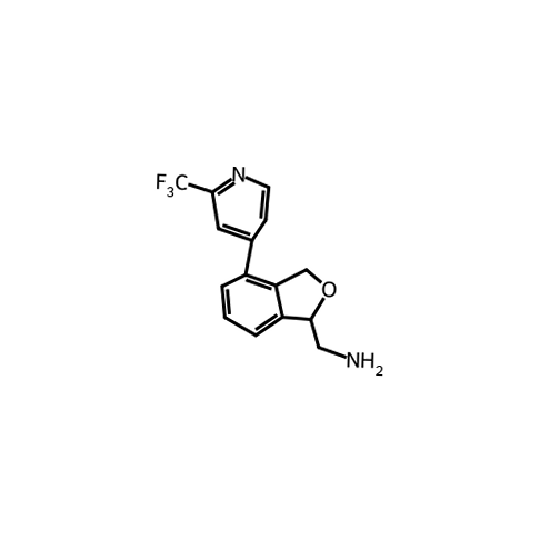 NCC1OCc2c(-c3ccnc(C(F)(F)F)c3)cccc21